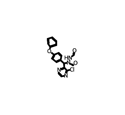 O=CNN(C=O)C(c1ccc(Oc2ccccc2)cc1)c1nccnc1Cl